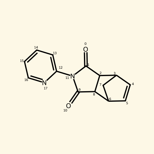 O=C1C2C3C=CC(C3)C2C(=O)N1c1ccccn1